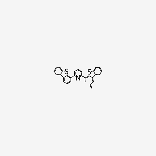 C=C/C=c1\c(=C(/C)c2cccc(-c3cccc4c3sc3ccccc34)n2)sc2ccccc12